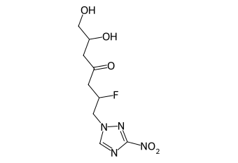 O=C(CC(O)CO)CC(F)Cn1cnc([N+](=O)[O-])n1